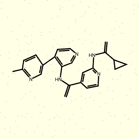 C=C(Nc1cnccc1-c1ccc(C)nc1)c1ccnc(NC(=C)C2CC2)c1